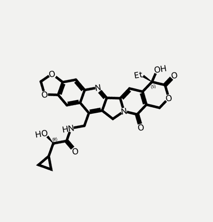 CC[C@@]1(O)C(=O)OCc2c1cc1n(c2=O)Cc2c-1nc1cc3c(cc1c2CNC(=O)[C@H](O)C1CC1)OCO3